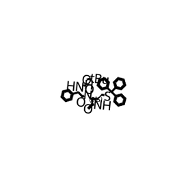 CC(C)(C)OC(=O)NC(C(=O)N[C@@H]1C(=O)N[C@@H]1CSC(c1ccccc1)(c1ccccc1)c1ccccc1)c1ccccc1